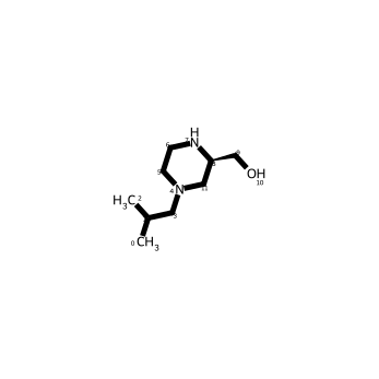 CC(C)CN1CCN[C@@H](CO)C1